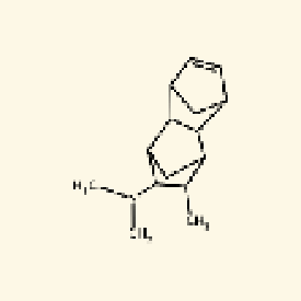 CC1C2CC(C3C4C=CC(C4)C23)C1N(C)C